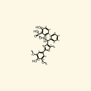 COc1cc(-c2nc(C(Nc3cccc(O)c3P(=O)(O)O)c3ccccc3)c(C)o2)cc(OC)c1O